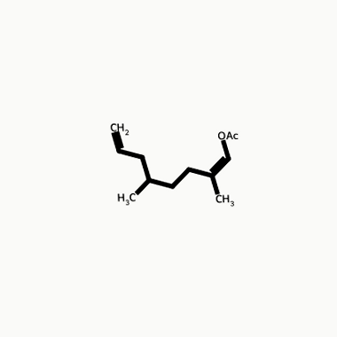 C=CCC(C)CCC(C)=COC(C)=O